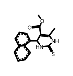 COC(=O)C1=C(C)NC(=S)NC1c1cccc2ccccc12